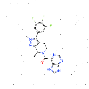 C[C@H]1c2nn(C)c(-c3cc(F)c(F)c(F)c3)c2CCN1C(=O)c1ncnc2nc[nH]c12